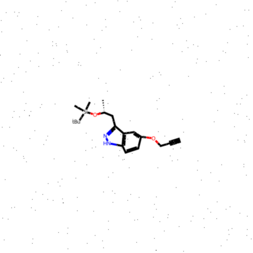 C#CCOc1ccc2[nH]nc(C[C@@H](C)O[Si](C)(C)C(C)(C)C)c2c1